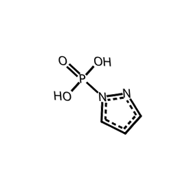 O=P(O)(O)n1cccn1